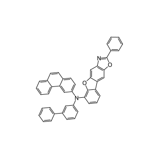 c1ccc(-c2cccc(N(c3ccc4ccc5ccccc5c4c3)c3cccc4c3oc3cc5nc(-c6ccccc6)oc5cc34)c2)cc1